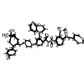 CC1(C)CCC(CN2CCN(c3ccc(C(=O)NS(=O)(=O)c4ccc(NCC5CCOCC5)c([N+](=O)[O-])c4)c(N4CCCOc5ncccc54)c3)CC2)=C(c2ccc(Cl)cc2)C1